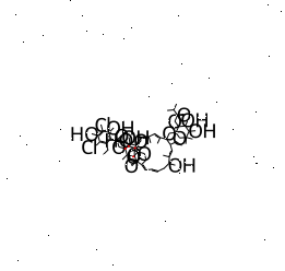 CCc1c(Cl)c(O)c(Cl)c(O)c1C(=O)OC1C(C)OC(OC/C2=C\C=C\CC(O)/C(C)=C/C(CC)C(OC3OC(C)(C)C(O)C(O)C3OC(=O)C(C)C)/C(C)=C/C(C)=C/CC(C(C)O)OC2=O)C(OC)C1O